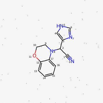 N#CC(c1c[nH]cn1)N1CCOc2ccccc21